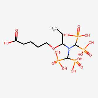 CCC(OCCCCC(=O)O)N(C(P(=O)(O)O)P(=O)(O)O)C(P(=O)(O)O)P(=O)(O)O